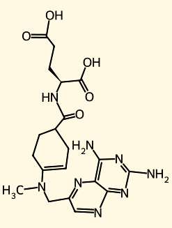 CN(Cc1cnc2nc(N)nc(N)c2n1)C1=CCC(C(=O)N[C@@H](CCC(=O)O)C(=O)O)CC1